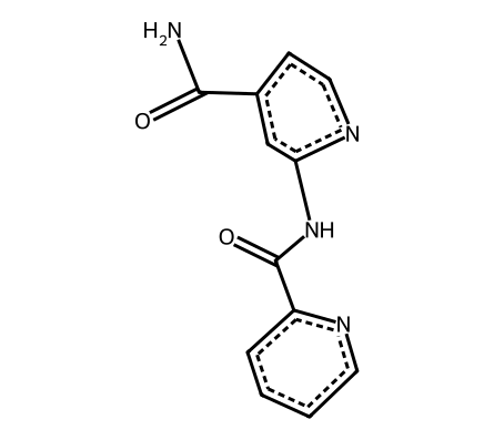 NC(=O)c1ccnc(NC(=O)c2ccccn2)c1